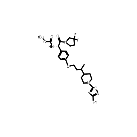 CC(C)c1noc(N2CCC(C(C)CCOc3ccc([C@H](NC(=O)OC(C)(C)C)C(=O)N4CCC(F)(F)C4)cc3)CC2)n1